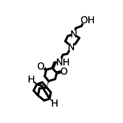 O=C1CC([C@]23CC4C[C@@H](C[C@H](C4)C2)C3)CC(=O)C1=CNCCN1CCN(CCO)CC1